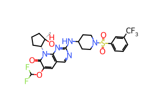 C[C@@]1(O)CCC[C@H]1n1c(=O)c(OC(F)F)cc2cnc(NC3CCN(S(=O)(=O)c4cccc(C(F)(F)F)c4)CC3)nc21